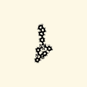 c1ccc(-c2nc(-c3ccc(-c4ccc5c(ccc6ccccc65)c4)cc3)nc(-c3cccc(-c4nc5ccccc5c5oc6ccccc6c45)c3)n2)cc1